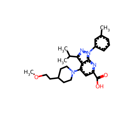 COCCC1CCN(c2cc(C(=O)O)nc3c2c(C(C)C)nn3-c2cccc(C)c2)CC1